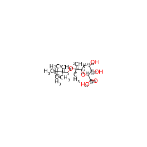 CC(C)(OCC(C)(C)C(C)(C)C)C1CC(O)[C@H](O)C(C(=O)O)O1